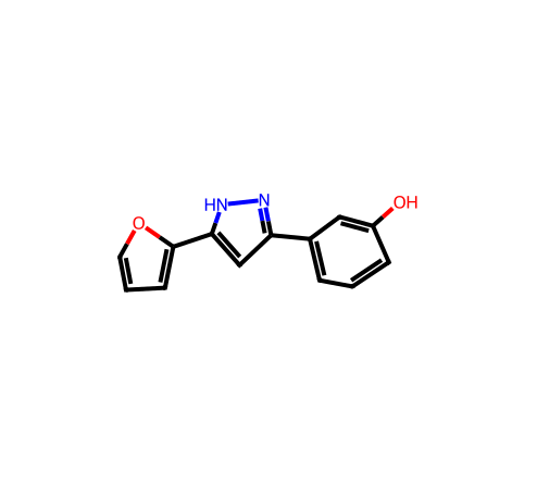 Oc1cccc(-c2cc(-c3ccco3)[nH]n2)c1